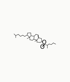 CCCCC(C)C(=O)OC1CCC2(C)C(=CCC3C2CCC2(C)C(CCCCC(C)C)CCC32)C1